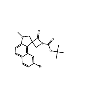 CN1CC2(CN(C(=O)OC(C)(C)C)C2=O)c2c1cnc1ccc(Br)cc21